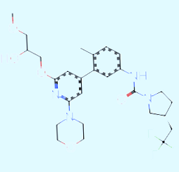 COCC(O)COc1cc(-c2cc(NC(=O)N3CC[C@@H](CC(F)(F)F)C3)ccc2C)cc(N2CCOCC2)n1